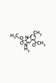 CCOC(=O)c1nc2cc(C)cc(C(C)=O)c2cc1N